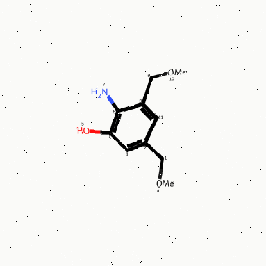 COCc1cc(O)c(N)c(COC)c1